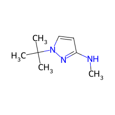 CNc1ccn(C(C)(C)C)n1